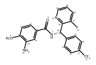 CC(=O)Oc1ccc(C(=O)N[C@@H](c2ccc(C(F)(F)F)cc2)c2ncccc2F)cc1N